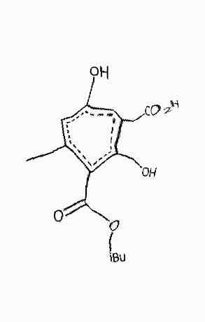 CCC(C)OC(=O)c1c(C)cc(O)c(C(=O)O)c1O